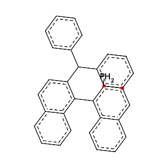 Pc1ccc2ccccc2c1-c1c(C(c2ccccc2)c2ccccc2)ccc2ccccc12